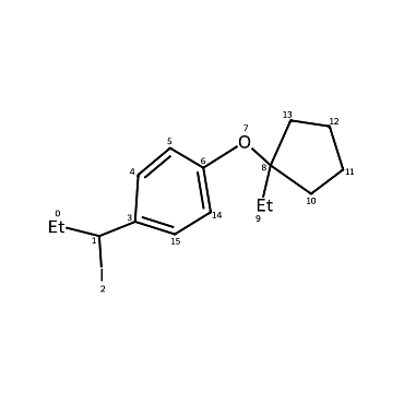 CCC(I)c1ccc(OC2(CC)CCCC2)cc1